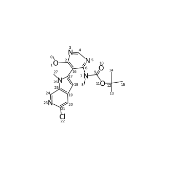 COc1ncnc(N(C)C(=O)OC(C)(C)C)c1-c1cc2cc(Cl)ncc2n1C